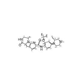 C[C@@H]1CNC(=O)c2cc3ccc(C(=O)Nc4ccc(N5CCN(C)C[C@@H]5C)cc4OC(F)F)nc3n21